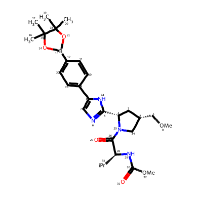 COC[C@H]1C[C@@H](c2ncc(-c3ccc(B4OC(C)(C)C(C)(C)O4)cc3)[nH]2)N(C(=O)[C@@H](NC(=O)OC)C(C)C)C1